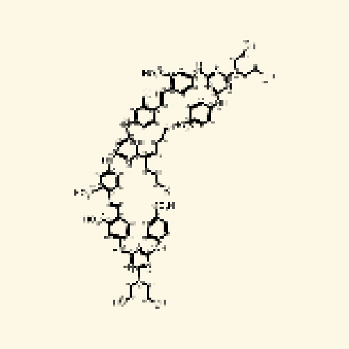 O=S(=O)(O)c1ccc(Nc2nc(Nc3ccc(/C=C/c4ccc(NC5=NC(/C(=C\CCO)CCCO)NC(Nc6ccc(/C=C/c7ccc(Nc8nc(Nc9ccc(S(=O)(=O)O)cc9)nc(N(CCO)CCO)n8)cc7S(=O)(=O)O)c(S(=O)(=O)O)c6)=N5)cc4S(=O)(=O)O)c(S(=O)(=O)O)c3)nc(N(CCO)CCO)n2)cc1